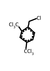 ClCc1ccc(C(Cl)(Cl)Cl)cc1C(Cl)(Cl)Cl